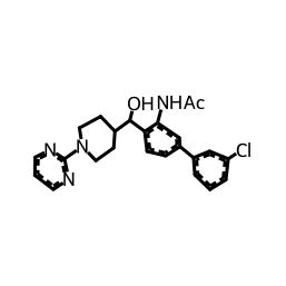 CC(=O)Nc1cc(-c2cccc(Cl)c2)ccc1C(O)C1CCN(c2ncccn2)CC1